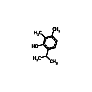 Cc1ccc(C(C)C)c(O)c1C